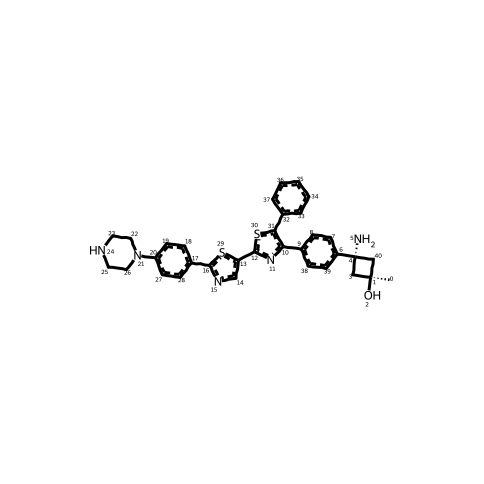 C[C@]1(O)C[C@@](N)(c2ccc(-c3nc(-c4cnc(-c5ccc(N6CCNCC6)cc5)s4)sc3-c3ccccc3)cc2)C1